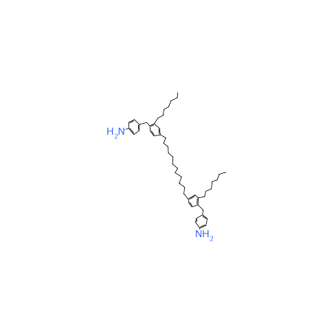 CCCCCCCc1cc(CCCCCCCCCCCCc2ccc(Cc3ccc(N)cc3)c(CCCCCCC)c2)ccc1Cc1ccc(N)cc1